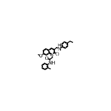 CCc1ccc(NCc2cc3ccc(OC)cc3n(CC(=O)Nc3ccccc3C)c2=O)cc1